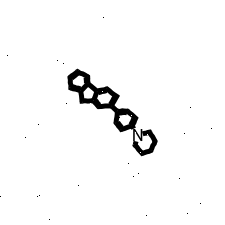 c1ccc2c(c1)Cc1cc(-c3ccc(N4CCCCC4)cc3)ccc1-2